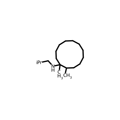 CC(C)CNC1(C)CCCCCCCCCCC1C